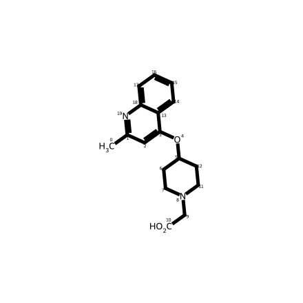 Cc1cc(OC2CCN(CC(=O)O)CC2)c2ccccc2n1